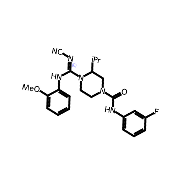 COc1ccccc1N/C(=N\C#N)N1CCN(C(=O)Nc2cccc(F)c2)CC1C(C)C